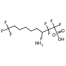 N.O=S(=O)(O)C(F)(F)C(F)(F)C(F)CCCCCC(F)(F)F